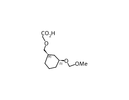 COCO[C@H]1CCC[C@@H](COCC(=O)O)C1